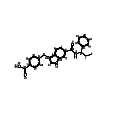 CC[C@@H](NC(=O)c1ccc2c(c1)ncn2Cc1ccc(C(=O)O)cc1)c1ccccc1